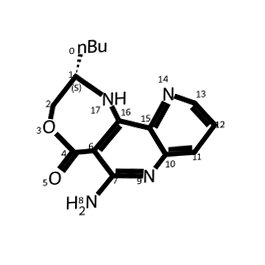 CCCC[C@H]1COC(=O)c2c(N)nc3cccnc3c2N1